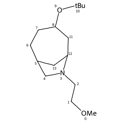 COCCN1CC2CCC(OC(C)(C)C)CC1C2